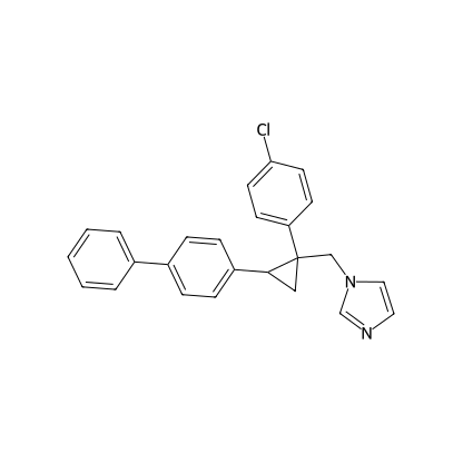 Clc1ccc(C2(Cn3ccnc3)CC2c2ccc(-c3ccccc3)cc2)cc1